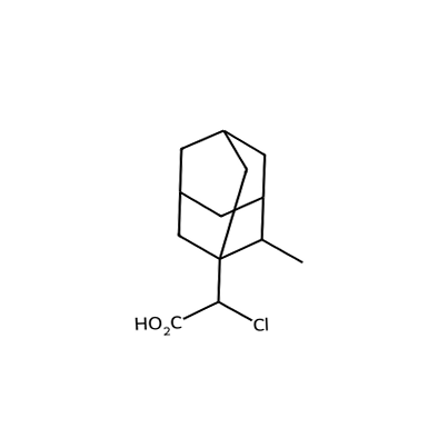 CC1C2CC3CC(C2)CC1(C(Cl)C(=O)O)C3